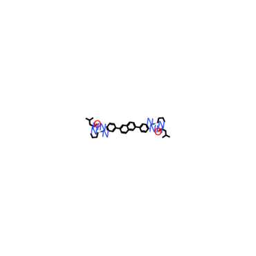 CC(C)CC(=O)N1CCC[C@H]1c1nc2cc(-c3ccc4cc(-c5ccc6[nH]c([C@@H]7CCCN7C(=O)CC(C)C)nc6c5)ccc4c3)ccc2[nH]1